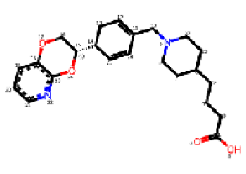 O=C(O)CCCC1CCN(CC2=CCC([C@H]3COc4cccnc4O3)C=C2)CC1